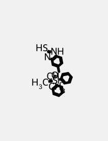 CC(C)(C)[Si](OCc1ccc2[nH]c(S)nc2c1)(c1ccccc1)c1ccccc1